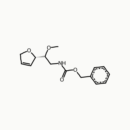 COC(CNC(=O)OCc1ccccc1)[C@@H]1C=CCO1